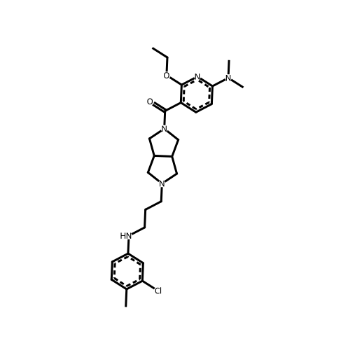 CCOc1nc(N(C)C)ccc1C(=O)N1CC2CN(CCCNc3ccc(C)c(Cl)c3)CC2C1